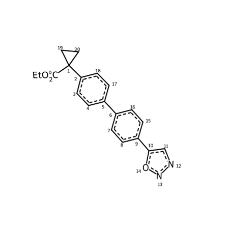 CCOC(=O)C1(c2ccc(-c3ccc(-c4cnno4)cc3)cc2)CC1